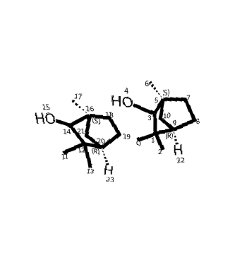 CC1(C)C(O)[C@@]2(C)CC[C@@H]1C2.CC1(C)C(O)[C@@]2(C)CC[C@@H]1C2